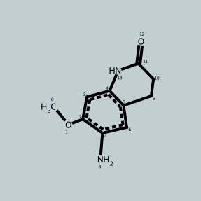 COc1cc2c(cc1N)CCC(=O)N2